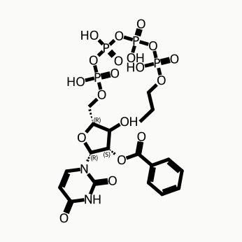 CCCOP(=O)(O)OP(=O)(O)OP(=O)(O)OP(=O)(O)OC[C@H]1O[C@@H](n2ccc(=O)[nH]c2=O)[C@@H](OC(=O)c2ccccc2)C1O